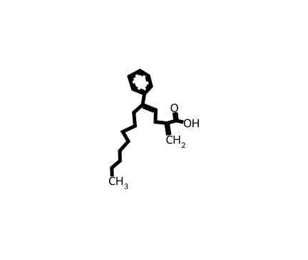 C=C(CC=C(CCCCCCCC)c1ccccc1)C(=O)O